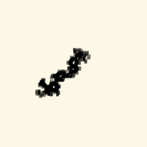 Cc1nc2c(F)cc(-c3nc(Nc4ccc5c(n4)CCN(CC(C)(C)N)C5)ncc3F)cc2n1C1CC1